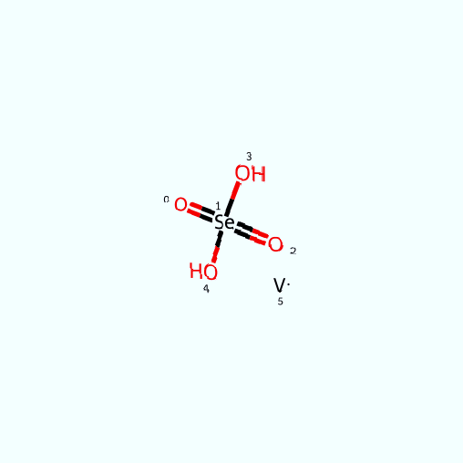 O=[Se](=O)(O)O.[V]